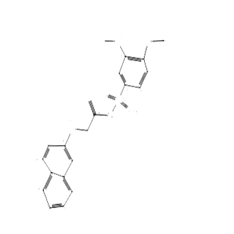 COc1ccc(S(=O)(=O)NC(=O)COc2ccc3ccccc3c2)cc1OC